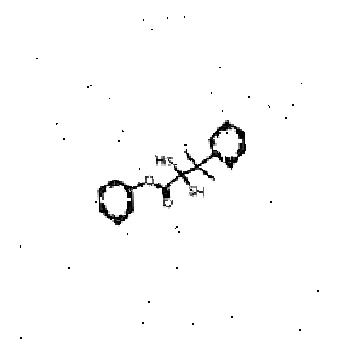 CC(C)(c1ccccc1)C(S)(S)C(=O)Oc1ccccc1